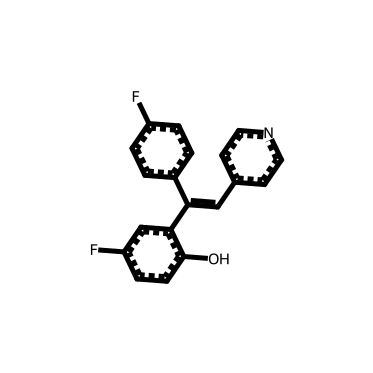 Oc1ccc(F)cc1/C(=C/c1ccncc1)c1ccc(F)cc1